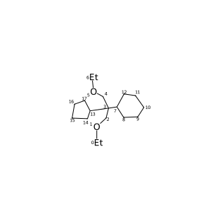 CCOCC(COCC)(C1CCCCC1)C1CCCC1